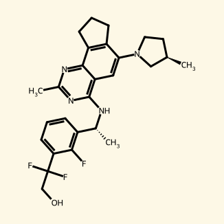 Cc1nc(N[C@H](C)c2cccc(C(F)(F)CO)c2F)c2cc(N3CC[C@@H](C)C3)c3c(c2n1)CCC3